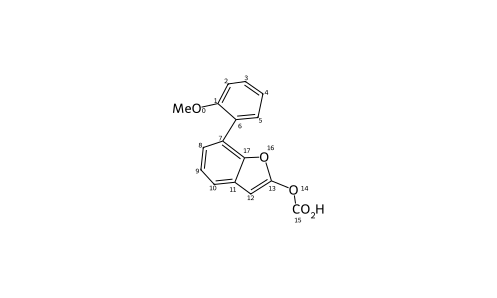 COc1ccccc1-c1cccc2cc(OC(=O)O)oc12